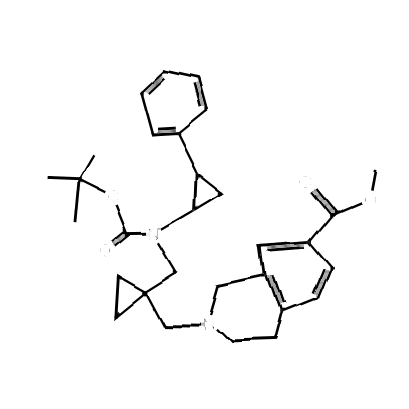 COC(=O)c1ccc2c(c1)CN(CC1(CN(C(=O)OC(C)(C)C)C3CC3c3ccccc3)CC1)CC2